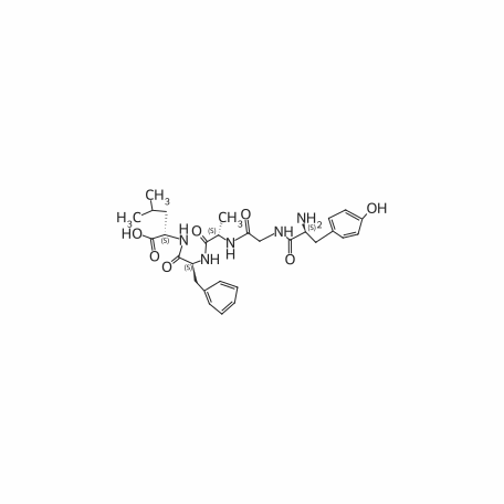 CC(C)C[C@H](NC(=O)[C@H](Cc1ccccc1)NC(=O)[C@H](C)NC(=O)CNC(=O)[C@@H](N)Cc1ccc(O)cc1)C(=O)O